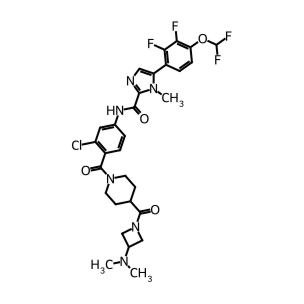 CN(C)C1CN(C(=O)C2CCN(C(=O)c3ccc(NC(=O)c4ncc(-c5ccc(OC(F)F)c(F)c5F)n4C)cc3Cl)CC2)C1